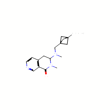 CN(CC12CC(C(=O)O)(C1)C2)C1Cc2ccncc2C(=O)N1C